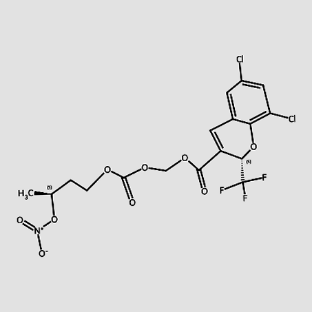 C[C@@H](CCOC(=O)OCOC(=O)C1=Cc2cc(Cl)cc(Cl)c2O[C@@H]1C(F)(F)F)O[N+](=O)[O-]